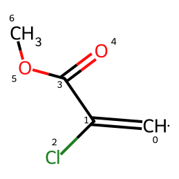 [CH]=C(Cl)C(=O)OC